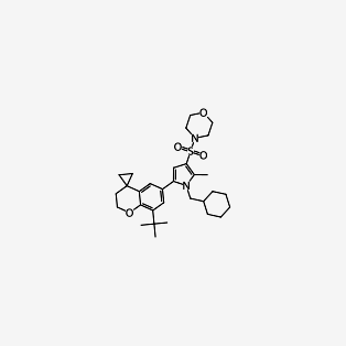 Cc1c(S(=O)(=O)N2CCOCC2)cc(-c2cc(C(C)(C)C)c3c(c2)C2(CCO3)CC2)n1CC1CCCCC1